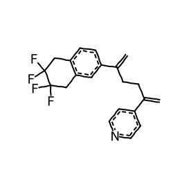 C=C(CCC(=C)c1ccc2c(c1)CC(F)(F)C(F)(F)C2)c1ccncc1